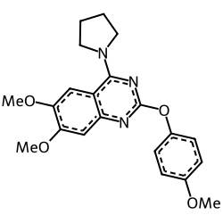 COc1ccc(Oc2nc(N3CCCC3)c3cc(OC)c(OC)cc3n2)cc1